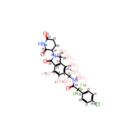 Bc1c(B)c(C(B)(B)N(B)C(=O)C(F)(F)c2ccc(Cl)cc2)c(B)c2c1C(=O)N(C1CCC(=O)NC1=O)C2(B)B